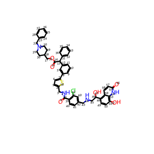 O=C(NCc1ccc(-c2cccc(C(C(=O)OCC3CCN(Cc4ccccc4)CC3)c3ccccc3)c2)s1)c1ccc(CNCC(O)c2ccc(O)c3[nH]c(=O)ccc23)cc1Cl